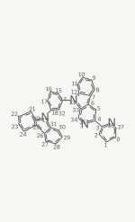 c1ccc(-c2cc3c4ccccc4n(-c4cccc(-n5c6ccccc6c6ccccc65)c4)c3cn2)nc1